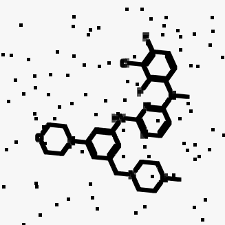 CN1CCN(Cc2cc(Nc3nccc(N(C)c4ccc(F)c(Cl)c4F)n3)cc(N3CCOCC3)c2)CC1